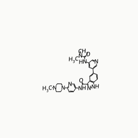 CN1CCN(c2ccc(NC(=O)c3n[nH]c4ccc(-c5cncc(NC(=O)N(C)C)c5)cc34)cn2)CC1